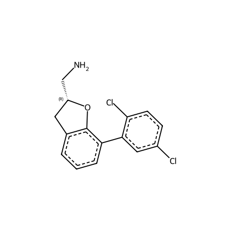 NC[C@H]1Cc2cccc(-c3cc(Cl)ccc3Cl)c2O1